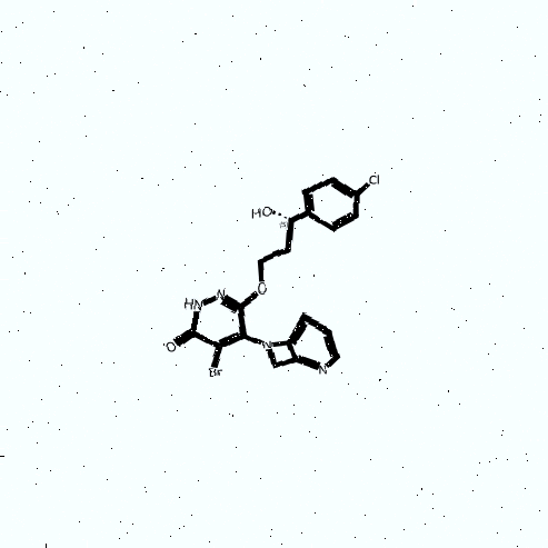 O=c1[nH]nc(OCC[C@H](O)c2ccc(Cl)cc2)c(N2Cc3ncccc32)c1Br